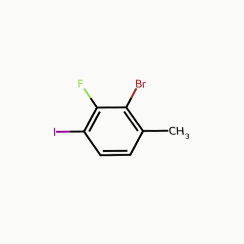 Cc1ccc(I)c(F)c1Br